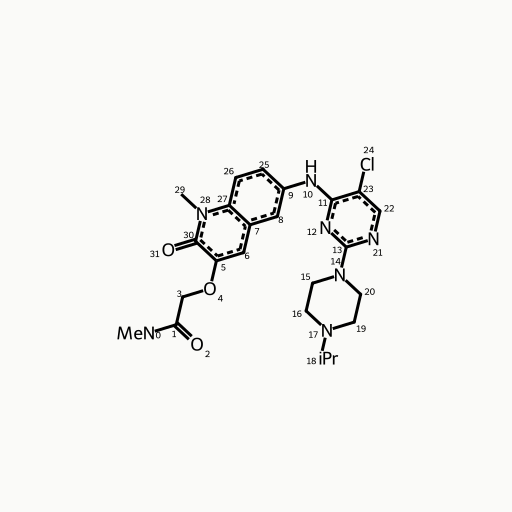 CNC(=O)COc1cc2cc(Nc3nc(N4CCN(C(C)C)CC4)ncc3Cl)ccc2n(C)c1=O